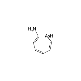 NC1=CC=CC=C[AsH]1